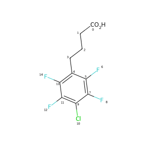 O=C(O)CCCc1c(F)c(F)c(Cl)c(F)c1F